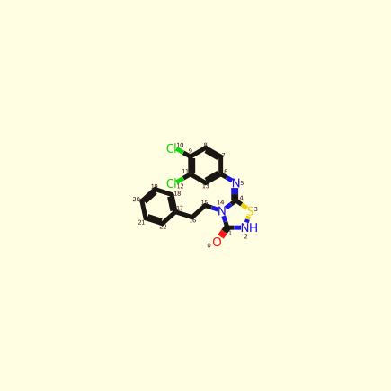 O=c1[nH]sc(=Nc2ccc(Cl)c(Cl)c2)n1CCc1ccccc1